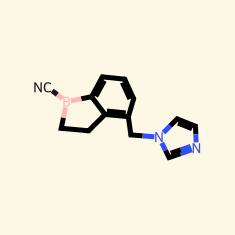 N#CB1CCc2c(Cn3ccnc3)cccc21